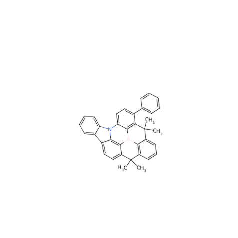 CC1(C)c2cccc3c2B2c4c(ccc(-c5ccccc5)c4C3(C)C)-n3c4ccccc4c4ccc1c2c43